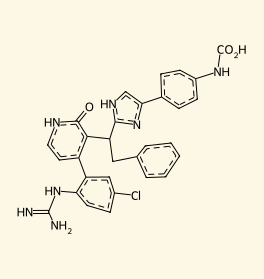 N=C(N)Nc1ccc(Cl)cc1-c1cc[nH]c(=O)c1C(Cc1ccccc1)c1nc(-c2ccc(NC(=O)O)cc2)c[nH]1